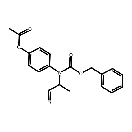 CC(=O)Oc1ccc(N(C(=O)OCc2ccccc2)C(C)C=O)cc1